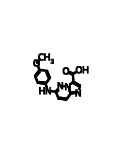 COc1ccc(Nc2ccc3ncc(C(=O)O)n3n2)cc1